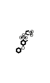 Cc1cc(Oc2ccccc2)ccc1S(=O)(=O)OC1C=CS(=O)(=O)C1